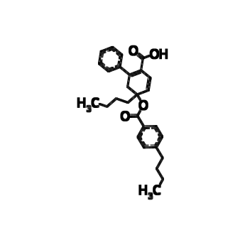 CCCCc1ccc(C(=O)OC2(CCCC)C=CC(C(=O)O)=C(c3ccccc3)C2)cc1